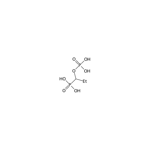 CCC(OP(=O)(O)O)P(=O)(O)O